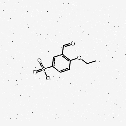 CCOc1ccc(S(=O)(=O)Cl)cc1C=O